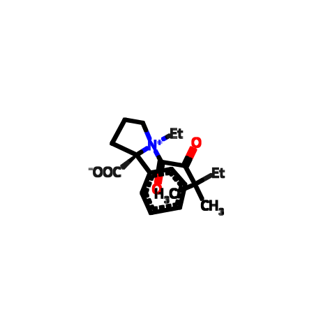 CCC(C)(C)C(=O)C(=O)[N+]1(CC)CCC[C@@]1(C(=O)[O-])c1ccccc1